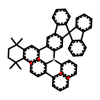 CC1(C)CCC(C)(C)c2cc(-c3cc4c(cc3N(c3ccccc3)c3ccccc3-c3ccccc3)C3(c5ccccc5-c5ccccc53)c3ccccc3-4)ccc21